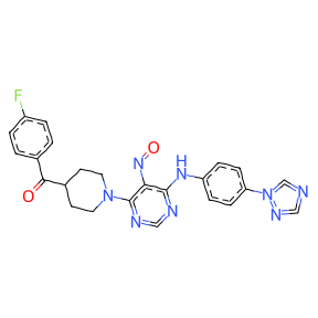 O=Nc1c(Nc2ccc(-n3cncn3)cc2)ncnc1N1CCC(C(=O)c2ccc(F)cc2)CC1